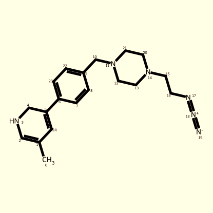 CC1=CNCC(c2ccc(CN3CCN(CCN=[N+]=[N-])CC3)cc2)=C1